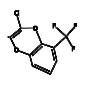 FC(F)(F)c1cccc2c1OC(Cl)=[C]O2